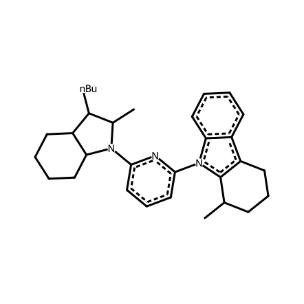 CCCCC1C2CCCCC2N(c2cccc(-n3c4c(c5ccccc53)CCCC4C)n2)C1C